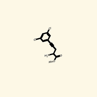 COC(=O)C(N)CC#Cc1cc(Cl)cc(Cl)c1